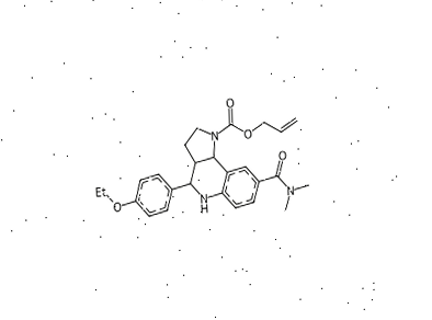 C=CCOC(=O)N1CCC2C(c3ccc(OCC)cc3)Nc3ccc(C(=O)N(C)C)cc3C21